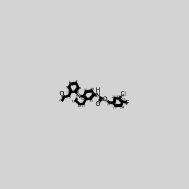 CC(=O)Cc1ccccc1N1CCCc2cc(NC(=O)OCc3ccc(F)c(Cl)c3)ccc21